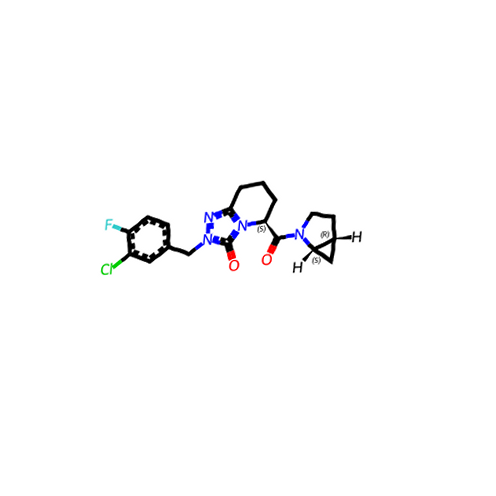 O=C([C@@H]1CCCc2nn(Cc3ccc(F)c(Cl)c3)c(=O)n21)N1CC[C@@H]2C[C@@H]21